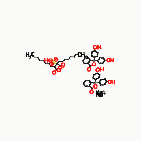 CCCCCCCCC(C(=O)[O-])C(CCCCCCCC)(C(=O)[O-])S(=O)(=O)O.O=C1OC(c2ccc(O)cc2)(c2ccc(O)cc2)c2ccccc21.O=C1OC(c2ccc(O)cc2)(c2ccc(O)cc2)c2ccccc21.[Na+].[Na+]